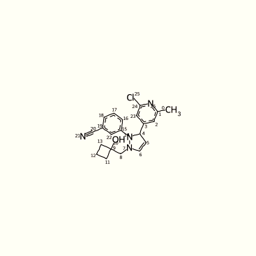 Cc1cc(C2C=CN(CC3(O)CCC3)N2c2cccc(C#N)c2)cc(Cl)n1